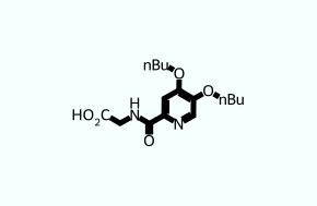 CCCCOc1cnc(C(=O)NCC(=O)O)cc1OCCCC